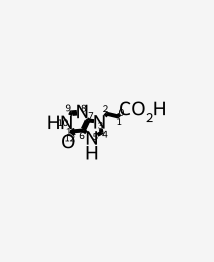 O=C(O)CCN1CNc2c1nc[nH]c2=O